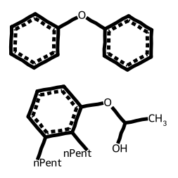 CCCCCc1cccc(OC(C)O)c1CCCCC.c1ccc(Oc2ccccc2)cc1